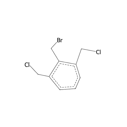 ClCc1cccc(CCl)c1CBr